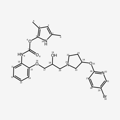 Cc1cc(C)c(OC(=O)Nc2ccccc2OCC(O)CN2CCC(Oc3ccc(Br)cn3)C2)[nH]1